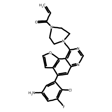 C=CC(=O)N1CCN(c2ncnc3cc(-c4cc(N)cc(F)c4Cl)c4ccoc4c23)CC1